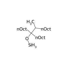 CCCCCCCCC(C)C(CCCCCCCC)(CCCCCCCC)O[SiH3]